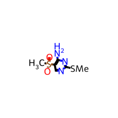 CSc1ncc(S(C)(=O)=O)c(N)n1